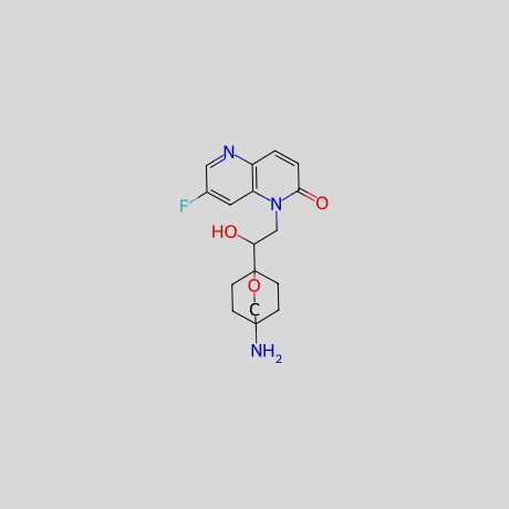 NC12CCC(C(O)Cn3c(=O)ccc4ncc(F)cc43)(CC1)OC2